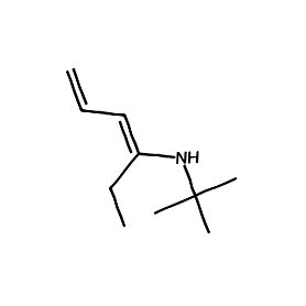 C=C/C=C(\CC)NC(C)(C)C